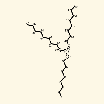 CCCCCCCCOP(SCCCCCCCC)SCCCCCCCC